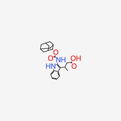 CC(CC(=O)O)c1c(NC(=O)OC2C3CC4CC(C3)CC2C4)[nH]c2ccccc12